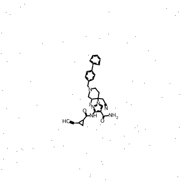 C#CC1CC1C(=O)Nc1nn(C2(CC#N)CCN(Cc3ccc(-c4ccccc4)cc3)CC2F)cc1C(N)=O